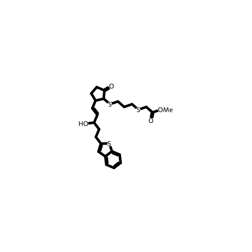 COC(=O)CSCCCSC1C(=O)CCC1/C=C/C(O)CCc1cc2ccccc2s1